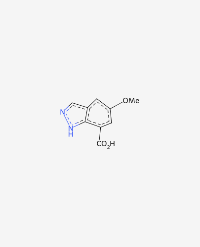 COc1cc(C(=O)O)c2[nH]ncc2c1